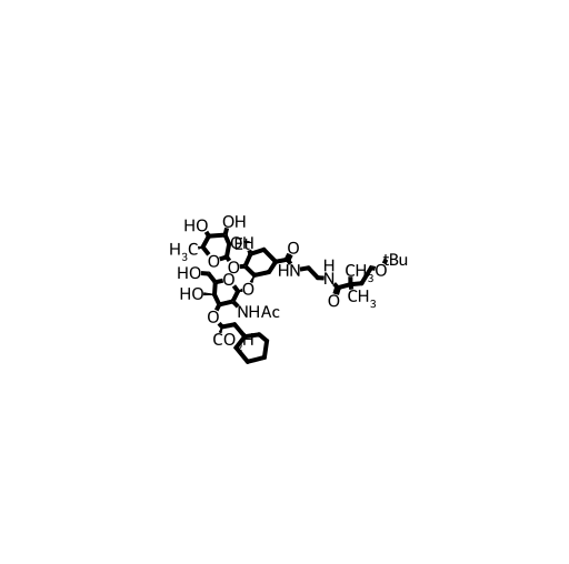 CCC1CC(C(=O)NCCNC(=O)C(C)(C)CCOC(C)(C)C)C[C@@H](O[C@@H]2OC(CO)[C@H](O)C(O[C@@H](CC3CCCCC3)C(=O)O)C2NC(C)=O)C1OC1O[C@@H](C)C(O)C(O)[C@@H]1O